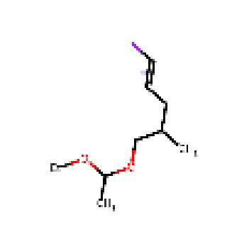 CCOC(C)OCC(C)C/C=C/I